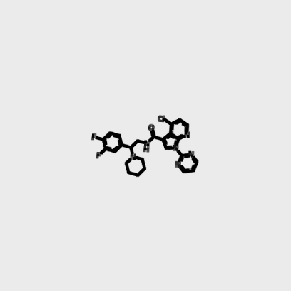 O=C(NCC(c1ccc(F)c(F)c1)N1CCCCC1)c1cn(-c2ncccn2)c2nccc(Cl)c12